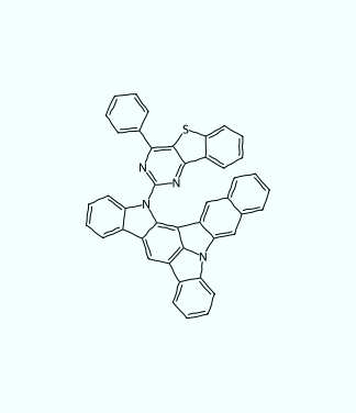 c1ccc(-c2nc(-n3c4ccccc4c4cc5c6ccccc6n6c7cc8ccccc8cc7c(c43)c56)nc3c2sc2ccccc23)cc1